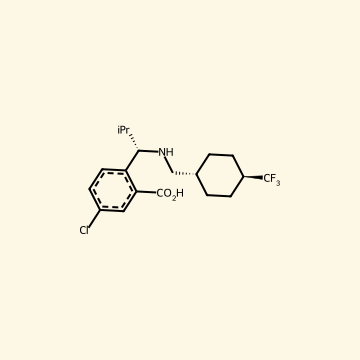 CC(C)[C@H](NC[C@H]1CC[C@H](C(F)(F)F)CC1)c1ccc(Cl)cc1C(=O)O